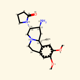 COc1cc2c(cc1OC)[C@@H]1C[C@H](N)[C@@H](N3CCCC3=O)CN1CC2